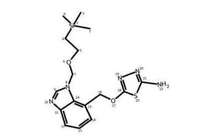 C[Si](C)(C)CCOCn1cnc2cccc(COc3nnc(N)s3)c21